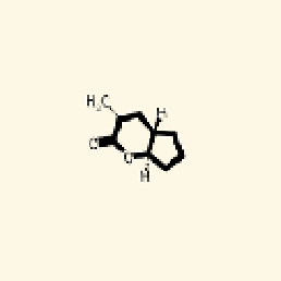 C[C@@H]1C[C@@H]2CCC[C@H]2OC1=O